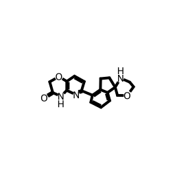 O=C1COc2ccc(-c3cccc4c3CCC43COCCN3)nc2N1